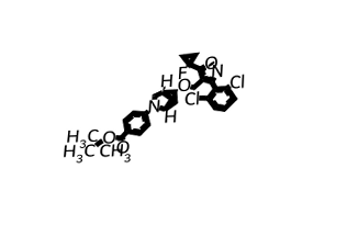 CC(C)(C)OC(=O)c1ccc(N2C[C@@H]3C[C@H]2C[C@H]3OCc2c(-c3c(Cl)cccc3Cl)noc2C2(F)CC2)cc1